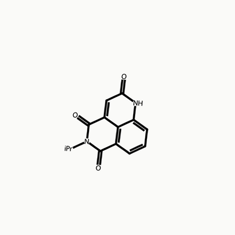 CC(C)N1C(=O)c2cccc3[nH]c(=O)cc(c23)C1=O